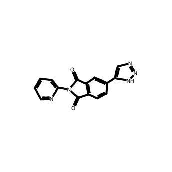 O=C1c2ccc(-c3cnn[nH]3)cc2C(=O)N1c1ccccn1